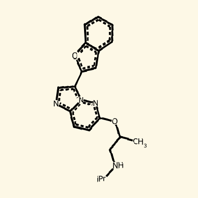 CC(C)NCC(C)Oc1ccc2ncc(-c3cc4ccccc4o3)n2n1